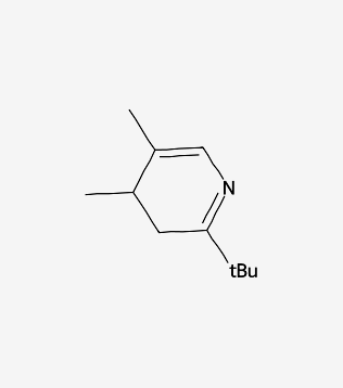 CC1=CN=C(C(C)(C)C)CC1C